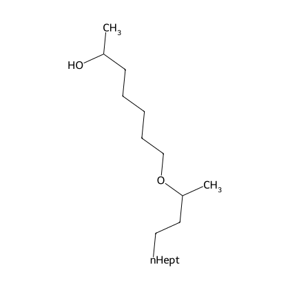 CCCCCCCCCC(C)OCCCCCC(C)O